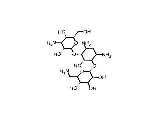 NCC1O[C@H](OC2C(N)CC(N)[C@@H](OC3O[C@H](CO)[C@@H](O)C(N)[C@H]3O)[C@H]2O)[C@@H](O)C(O)[C@@H]1O